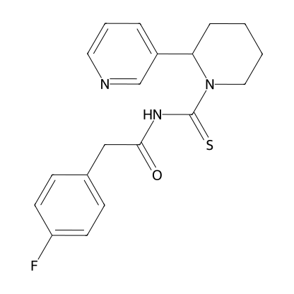 O=C(Cc1ccc(F)cc1)NC(=S)N1CCCCC1c1cccnc1